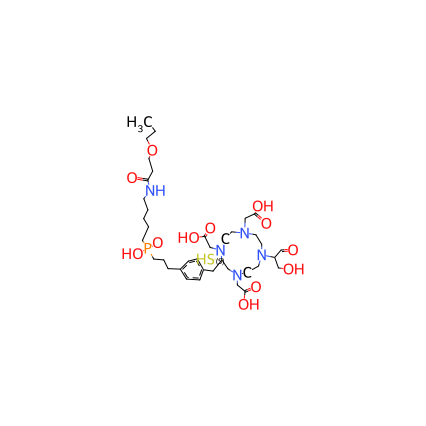 CCCOCCC(=O)NCCCCCP(=O)(O)CCCc1ccc(C[C@]2(S)CN(CC(=O)O)CCN(C(C=O)CO)CCN(CC(=O)O)CCN2CC(=O)O)cc1